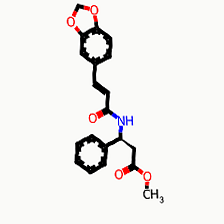 COC(=O)C[C@H](NC(=O)/C=C/c1ccc2c(c1)OCO2)c1ccccc1